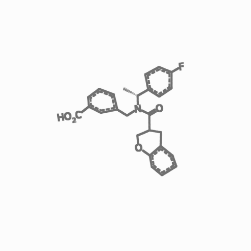 C[C@H](c1ccc(F)cc1)N(Cc1cccc(C(=O)O)c1)C(=O)C1COc2ccccc2C1